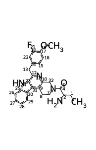 CCC(N)C(=O)N1CCc2c(nc(Cc3ccc(OC)c(F)c3)c3[nH]c4ccccc4c23)C1